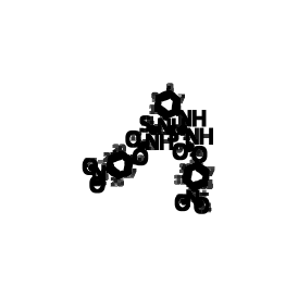 O=C(NC(=S)Nc1ccccc1NC(=S)NC(=O)Oc1ccc([N+](=O)[O-])cc1)Oc1ccc([N+](=O)[O-])cc1